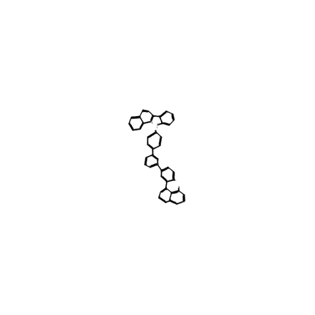 c1cc(-c2ccc(-n3c4ccccc4c4ccc5ccccc5c43)cc2)cc(-c2ccc3c(c2)-c2cccc4cccc(c24)S3)c1